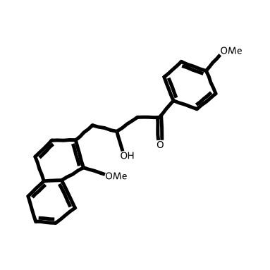 COc1ccc(C(=O)CC(O)Cc2ccc3ccccc3c2OC)cc1